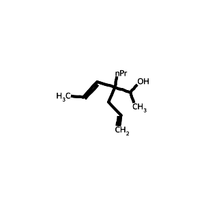 C=CCC(C=CC)(CCC)C(C)O